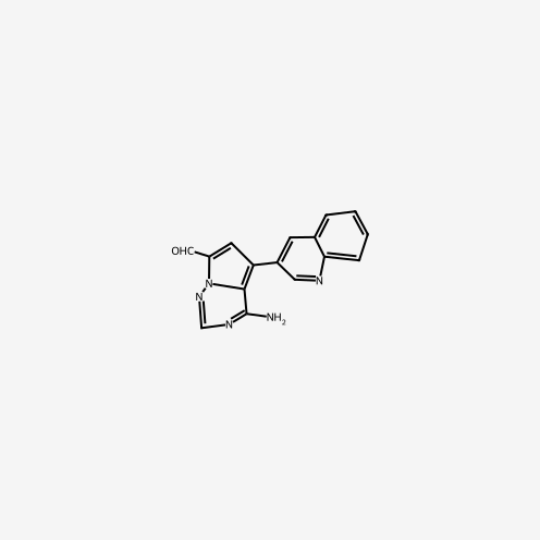 Nc1ncnn2c(C=O)cc(-c3cnc4ccccc4c3)c12